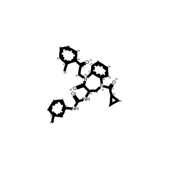 Cc1cccc(NC(=O)NC2CN(C(=O)C3CC3)c3ccccc3N(CC(=O)c3ccccc3C)C2=O)c1